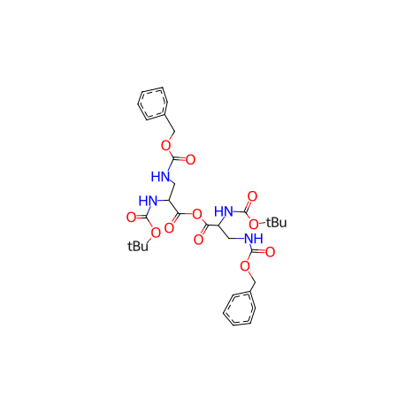 CC(C)(C)OC(=O)NC(CNC(=O)OCc1ccccc1)C(=O)OC(=O)C(CNC(=O)OCc1ccccc1)NC(=O)OC(C)(C)C